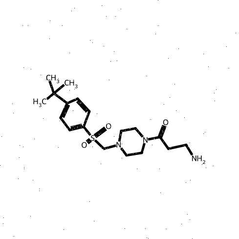 CC(C)(C)c1ccc(S(=O)(=O)CN2CCN(C(=O)CCN)CC2)cc1